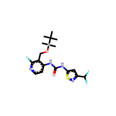 CC(C)(C)[Si](C)(C)OCc1c(NC(=O)Nc2cc(C(F)F)ns2)ccnc1F